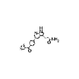 NC(=O)C=Cc1c[nH]c2ncc(-c3ccc(C(=O)c4cncs4)cc3)cc12